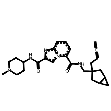 C=C=CCC1(CNC(=O)c2cccc3nc(C(=O)NC4CCN(C)CC4)cn23)CC2CC2C1